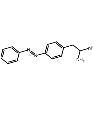 CCCC(N)Cc1ccc(/N=N/c2ccccc2)cc1